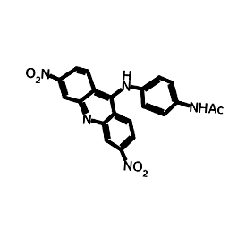 CC(=O)Nc1ccc(Nc2c3ccc([N+](=O)[O-])cc3nc3cc([N+](=O)[O-])ccc23)cc1